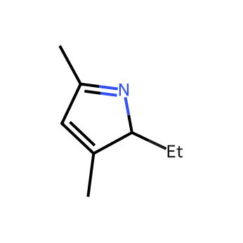 CCC1N=C(C)C=C1C